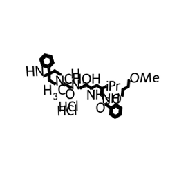 COCCCCOc1ccccc1C(=O)NCC(CC(N)C(O)CNC(=O)C(C)(C)N1CCC2(CC1)CNc1ccccc12)C(C)C.Cl.Cl